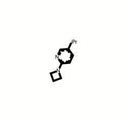 CC(C)c1ccc(N2CCC2)nc1